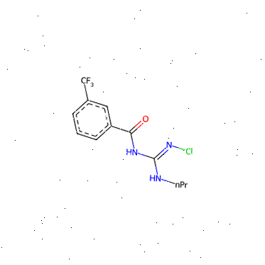 CCCNC(=NCl)NC(=O)c1cccc(C(F)(F)F)c1